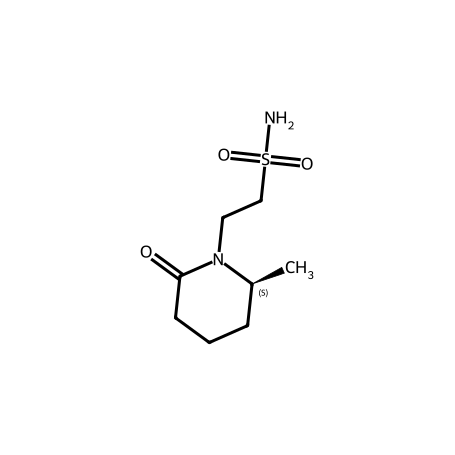 C[C@H]1CCCC(=O)N1CCS(N)(=O)=O